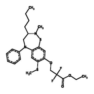 CCCCC1CN(c2ccccc2)c2cc(SC)c(OCC(F)(F)C(=O)OCC)cc2SN1C